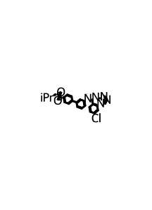 CC(C)CS(=O)(=O)c1ccc(-c2cccc(N(C)c3nc4nncn4c4cc(Cl)ccc34)c2)cc1